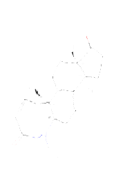 CN1C(=O)C=C[C@]2(C)C3CC[C@]4(C)C(O)CC[C@H]4C3CC[C@@H]12